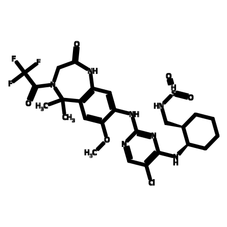 COc1cc2c(cc1Nc1ncc(Cl)c(N[C@@H]3CCCC[C@@H]3CN[SH](=O)=O)n1)NC(=O)CN(C(=O)C(F)(F)F)C2(C)C